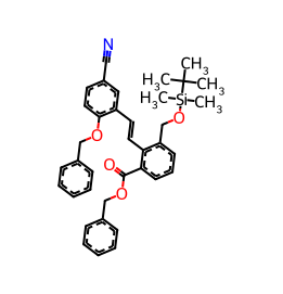 CC(C)(C)[Si](C)(C)OCc1cccc(C(=O)OCc2ccccc2)c1C=Cc1cc(C#N)ccc1OCc1ccccc1